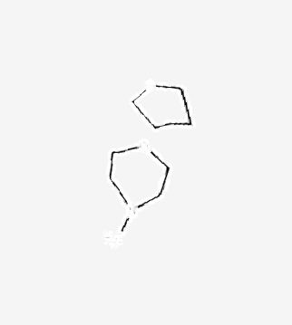 C1CCOC1.CN1CCOCC1